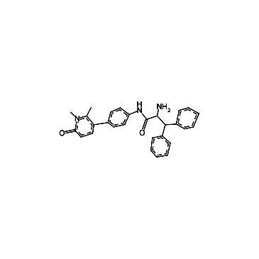 Cc1c(-c2ccc(NC(=O)C(N)C(c3ccccc3)c3ccccc3)cc2)ccc(=O)n1C